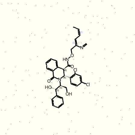 C=N/C(=C\C=C/C)CONC(=O)[C@@H]1c2ccccc2C(=O)N([C@@H](CO)[C@@H](O)c2ccccc2)[C@H]1c1ccc(Cl)cc1Cl